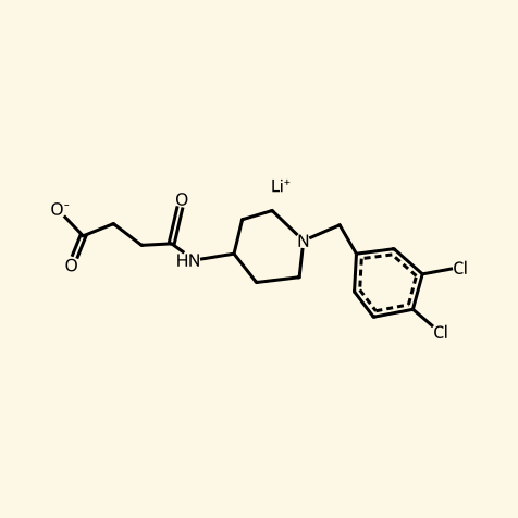 O=C([O-])CCC(=O)NC1CCN(Cc2ccc(Cl)c(Cl)c2)CC1.[Li+]